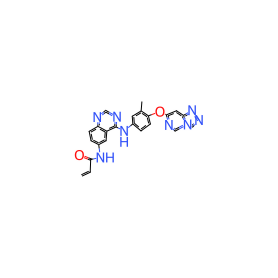 C=CC(=O)Nc1ccc2ncnc(Nc3ccc(Oc4cc5nncn5cn4)c(C)c3)c2c1